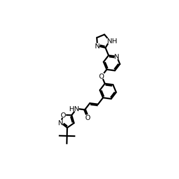 CC(C)(C)c1cc(NC(=O)C=Cc2cccc(Oc3ccnc(C4=NCCN4)c3)c2)on1